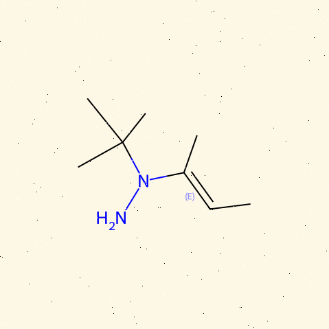 C/C=C(\C)N(N)C(C)(C)C